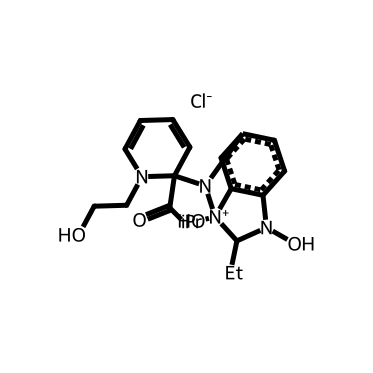 CCC1N(O)c2ccc3cc2[N+]1(O)N3C1(C(=O)C(C)C)C=CC=CN1CCO.[Cl-]